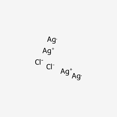 [Ag+].[Ag+].[Ag].[Ag].[Cl-].[Cl-]